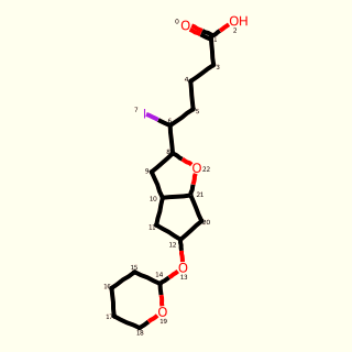 O=C(O)CCCC(I)C1CC2CC(OC3CCCCO3)CC2O1